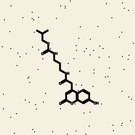 CC(C)COC(=O)NCCCNC(=O)Cc1cc(=O)oc2cc(O)ccc12